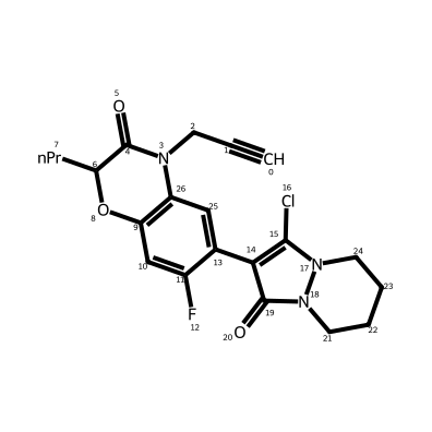 C#CCN1C(=O)C(CCC)Oc2cc(F)c(-c3c(Cl)n4n(c3=O)CCCC4)cc21